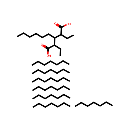 CCCCCCC.CCCCCCC.CCCCCCC.CCCCCCC.CCCCCCC.CCCCCCC.CCCCCCC.CCCCCCC(C(CC)C(=O)O)C(CC)C(=O)O